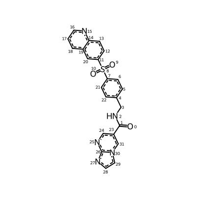 O=C(NCc1ccc(S(=O)(=O)c2ccc3ncccc3c2)cc1)c1cnc2nccn2c1